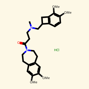 COc1cc2c(cc1OC)CCN(C(=O)CCN(C)CC1Cc3c1ccc(OC)c3OC)CC2.Cl